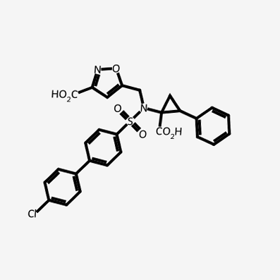 O=C(O)c1cc(CN(C2(C(=O)O)CC2c2ccccc2)S(=O)(=O)c2ccc(-c3ccc(Cl)cc3)cc2)on1